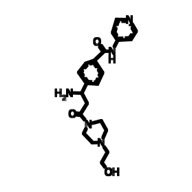 NC(CC(=O)N1CCN(CCO)CC1)c1ccc(C(=O)Nc2ccncc2)cc1